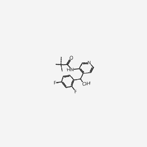 CC(C)(C)C(=O)Nc1cnccc1C(O)c1ccc(F)cc1F